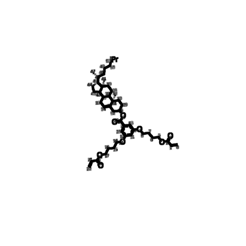 C=CC(=O)OCCCCOc1cc(OCCCCOC(=O)C=C)cc(C(=O)OC2CC[C@@]3(C)C(=CCC4C3CC[C@@]3(C)C4CC[C@@H]3[C@H](C)CCCC(C)C)C2)c1